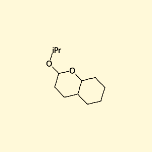 CC(C)OC1CCC2CCCCC2O1